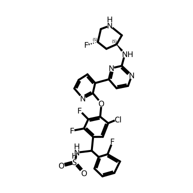 O=[SH](=O)NC(c1ccccc1F)c1cc(Cl)c(Oc2ncccc2-c2ccnc(N[C@@H]3CNC[C@@H](F)C3)n2)c(F)c1F